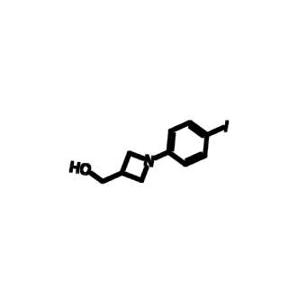 OCC1CN(c2ccc(I)cc2)C1